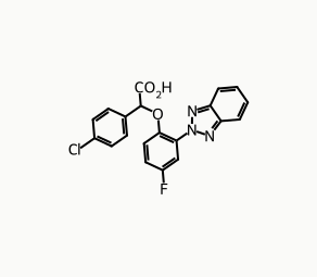 O=C(O)C(Oc1ccc(F)cc1-n1nc2ccccc2n1)c1ccc(Cl)cc1